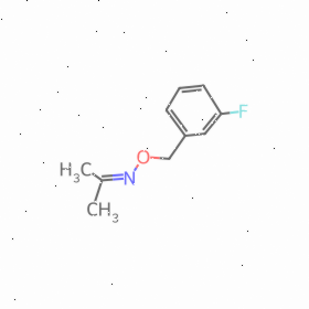 CC(C)=NOCc1cccc(F)c1